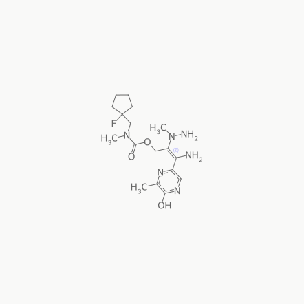 Cc1nc(/C(N)=C(\COC(=O)N(C)CC2(F)CCCC2)N(C)N)cnc1O